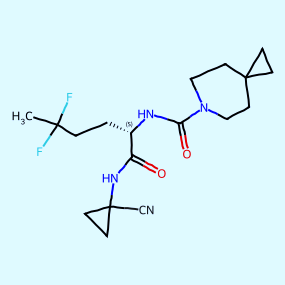 CC(F)(F)CC[C@H](NC(=O)N1CCC2(CC1)CC2)C(=O)NC1(C#N)CC1